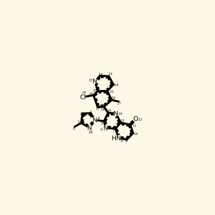 Cc1ccn(-c2nc3[nH]ccc(=O)c3nc2-c2cc(Cl)c3ncccc3c2C)n1